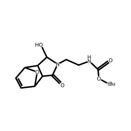 CC(C)(C)OC(=O)NCCN1C(=O)C2C3C=CC(O3)C2C1O